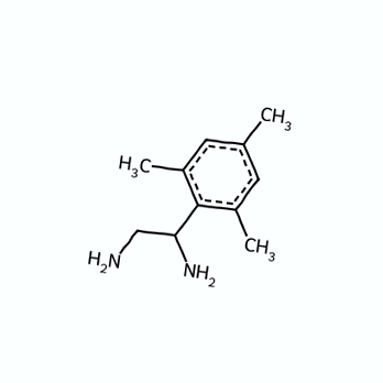 Cc1cc(C)c(C(N)CN)c(C)c1